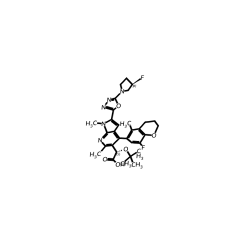 Cc1nc2c(cc(-c3nnc(N4CC[C@@H](F)C4)o3)n2C)c(-c2cc(F)c3c(c2C)CCCO3)c1[C@H](OC(C)(C)C)C(=O)O